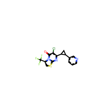 O=c1c(Cl)c(C2CC2c2cccnc2)nc2scc(C(F)(F)F)n12